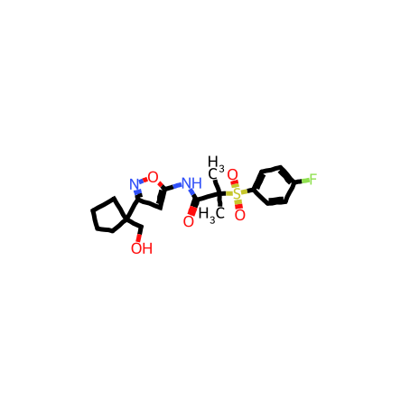 CC(C)(C(=O)Nc1cc(C2(CO)CCCC2)no1)S(=O)(=O)c1ccc(F)cc1